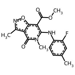 COC(=O)c1c(Nc2ccc(C)cc2F)n(C)c(=O)c2c(C)noc12